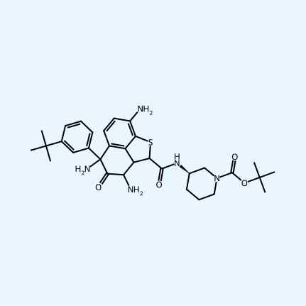 CC(C)(C)OC(=O)N1CCC[C@@H](NC(=O)C2Sc3c(N)ccc4c3C2C(N)C(=O)C4(N)c2cccc(C(C)(C)C)c2)C1